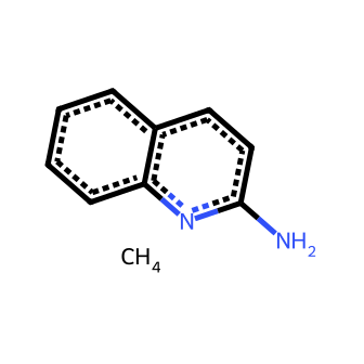 C.Nc1ccc2ccccc2n1